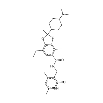 CCc1cc(C(=O)NCc2c(C)cc(C)[nH]c2=O)c(C)c2c1OC(C)(C1CCC(N(C)C)CC1)O2